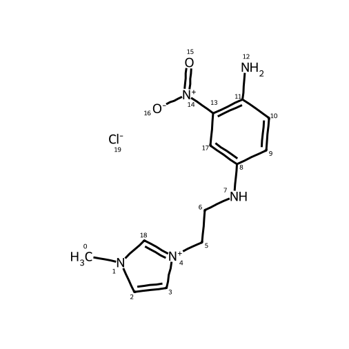 Cn1cc[n+](CCNc2ccc(N)c([N+](=O)[O-])c2)c1.[Cl-]